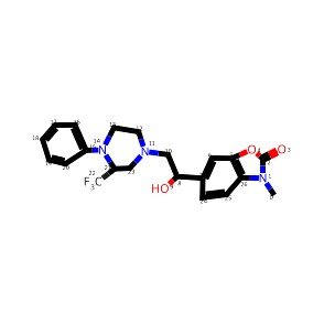 Cn1c(=O)oc2cc(C(O)CN3CCN(c4ccccc4)C(C(F)(F)F)C3)ccc21